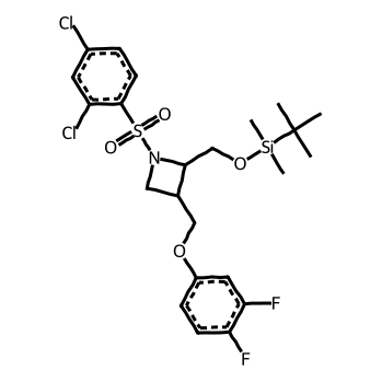 CC(C)(C)[Si](C)(C)OCC1C(COc2ccc(F)c(F)c2)CN1S(=O)(=O)c1ccc(Cl)cc1Cl